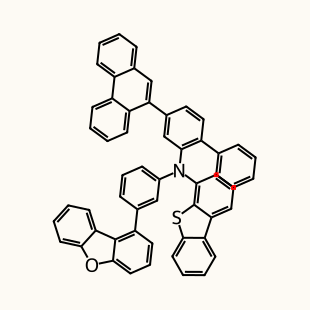 c1ccc(-c2ccc(-c3cc4ccccc4c4ccccc34)cc2N(c2cccc(-c3cccc4oc5ccccc5c34)c2)c2cccc3c2sc2ccccc23)cc1